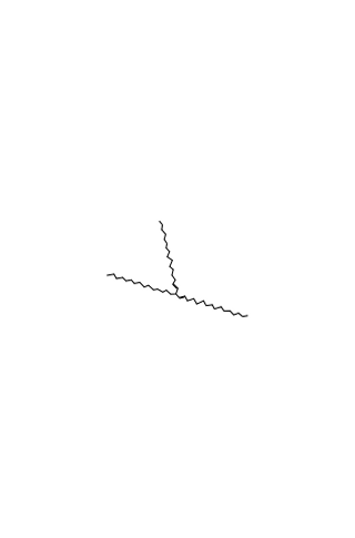 CCCCCCCCCCCCCCC=CC(C=CCCCCCCCCCCCCCC)CCCCCCCCCCCCCCC